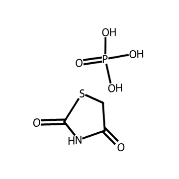 O=C1CSC(=O)N1.O=P(O)(O)O